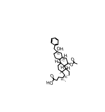 CC(=O)O[C@@H]1C[C@@H]2C[C@](O)(Cc3ccccc3)CC[C@]2(C)[C@H]2CC[C@]3(C)[C@@H]([C@H](C)CCC(=O)O)CC[C@H]3[C@H]12